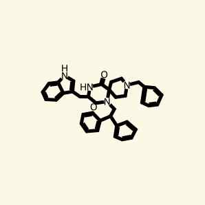 O=C1C(Cc2c[nH]c3ccccc23)NC(=O)C2(CCN(Cc3ccccc3)CC2)N1CC(c1ccccc1)c1ccccc1